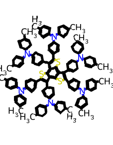 CC1=CCC(N(C2=CCC(C)C=C2)C2=CC=C(c3c(-c4ccc(N(c5ccc(C)cc5)c5ccc(C)cc5)cc4)sc4c5c(C6=CCC(N(C7=CC=C(C)CC7)C7C=CC(C)=CC7)C=C6)c(-c6ccc(N(c7ccc(C)cc7)c7ccc(C)cc7)cc6)sc5c5c(C6C=CC(N(C7=CCC(C)C=C7)C7=CC=C(C)CC7)=CC6)c(-c6ccc(N(c7ccc(C)cc7)c7ccc(C)cc7)cc6)sc5c34)CC2)C=C1